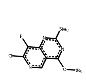 CSc1nc(OC(C)(C)C)c2cnc(Cl)c(F)c2n1